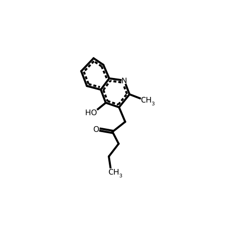 CCCC(=O)Cc1c(C)nc2ccccc2c1O